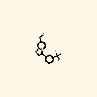 O=Cc1ccn2c(-c3cccc(C(F)(F)F)c3)cnc2c1